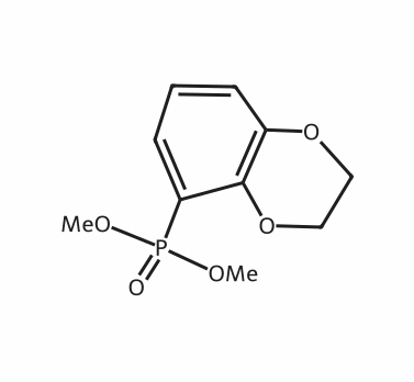 COP(=O)(OC)c1cccc2c1OCCO2